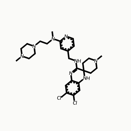 CN1CCN(CCN(C)c2cc(CNC3=Nc4cc(Cl)c(Cl)cc4NC34CCN(C)CC4)ccn2)CC1